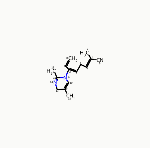 C=C/C(=C\CC=C(C)C#N)N1C=C(C)CN=C1C